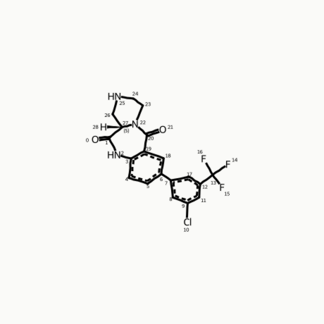 O=C1Nc2ccc(-c3cc(Cl)cc(C(F)(F)F)c3)cc2C(=O)N2CCNC[C@@H]12